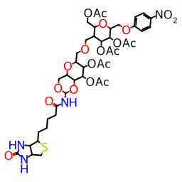 CC(=O)OCC1OC(COc2ccc([N+](=O)[O-])cc2)C(OC(C)=O)C(OC(C)=O)C1COCC1OC2COC(NC(=O)CCCCC3SCC4NC(=O)NC43)OC2C(OC(C)=O)C1OC(C)=O